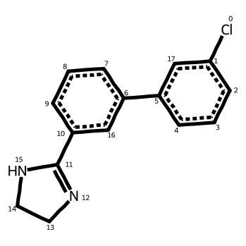 Clc1cccc(-c2cccc(C3=NCCN3)c2)c1